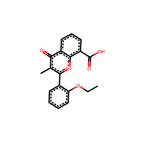 CCOc1ccccc1-c1oc2c(C(=O)O)cccc2c(=O)c1C